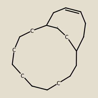 [CH]1CC2CCC=CCC1CCCCCCCCCC2